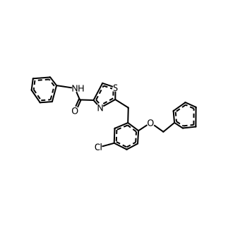 O=C(Nc1ccccc1)c1csc(Cc2cc(Cl)ccc2OCc2ccccc2)n1